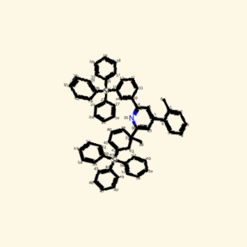 Cc1ccccc1-c1cc(-c2cccc([Si](c3ccccc3)(c3ccccc3)c3ccccc3)c2)nc(C2(C)C=CC=C([Si](c3ccccc3)(c3ccccc3)c3ccccc3)C2)c1